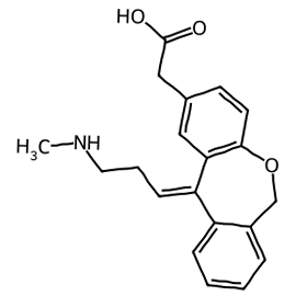 CNCCC=C1c2ccccc2COc2ccc(CC(=O)O)cc21